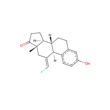 C[C@]12C/C(=C\F)[C@@H]3c4ccc(O)cc4CC[C@H]3[C@@H]1CCC2=O